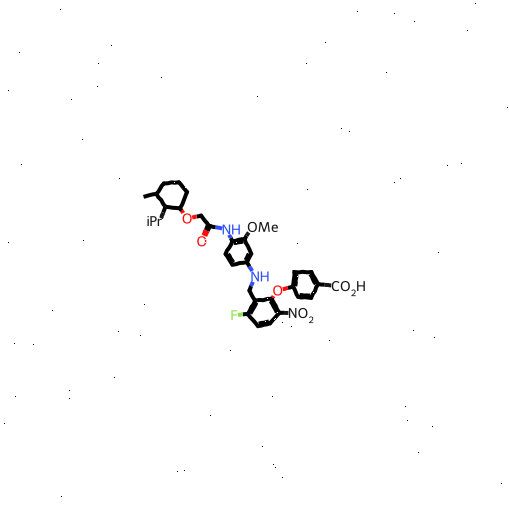 COc1cc(NCc2c(F)ccc([N+](=O)[O-])c2Oc2ccc(C(=O)O)cc2)ccc1NC(=O)COC1CCCC(C)C1C(C)C